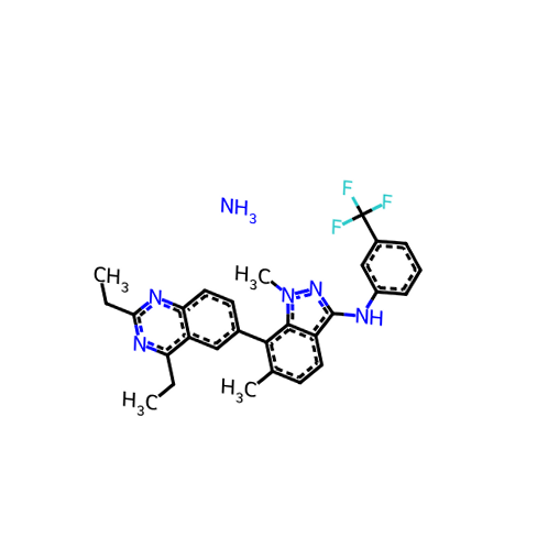 CCc1nc(CC)c2cc(-c3c(C)ccc4c(Nc5cccc(C(F)(F)F)c5)nn(C)c34)ccc2n1.N